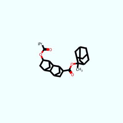 CC(C)C(=O)OC1CC2CC1C1C3CC(CC3C(=O)OC3(C)C4CC5CC(C4)CC3C5)C21